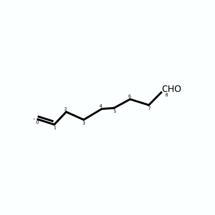 [CH]=CCCCCCCC=O